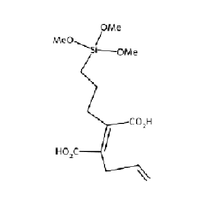 C=CCC(C(=O)O)=C(CCC[Si](OC)(OC)OC)C(=O)O